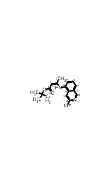 C/C(=C/C(=O)OC(C)(C)C)Nc1cccc2cnc(Cl)cc12